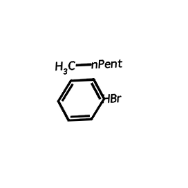 Br.CCCCCC.c1ccccc1